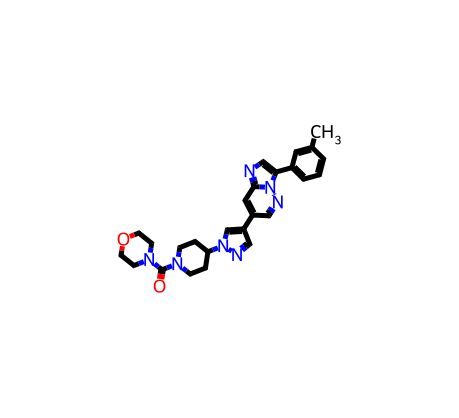 Cc1cccc(-c2cnc3cc(-c4cnn(C5CCN(C(=O)N6CCOCC6)CC5)c4)cnn23)c1